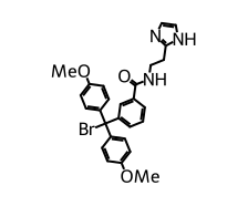 COc1ccc(C(Br)(c2ccc(OC)cc2)c2cccc(C(=O)NCCc3ncc[nH]3)c2)cc1